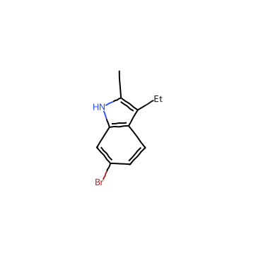 CCc1c(C)[nH]c2cc(Br)ccc12